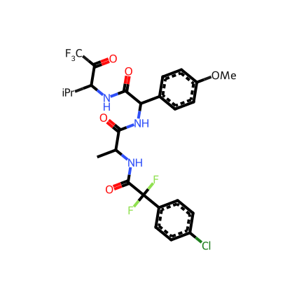 COc1ccc(C(NC(=O)C(C)NC(=O)C(F)(F)c2ccc(Cl)cc2)C(=O)NC(C(=O)C(F)(F)F)C(C)C)cc1